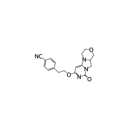 N#Cc1ccc(CCOc2cc3n(c(=O)n2)CC2COCCN32)cc1